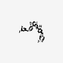 Fc1cncc(CN2CCN(c3c(Br)cnc4[nH]c(-c5ccc(CN6CCNCC6)cc5)nc34)CC2)c1